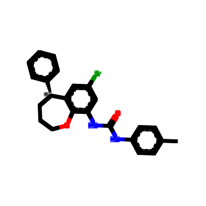 Cc1ccc(NC(=O)Nc2cc(Br)cc3c2OCCC[C@@H]3c2ccccc2)cc1